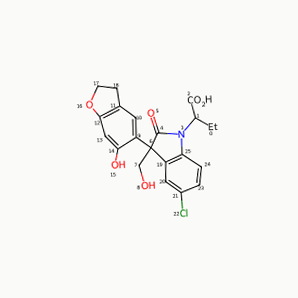 CCC(C(=O)O)N1C(=O)C(CO)(c2cc3c(cc2O)OCC3)c2cc(Cl)ccc21